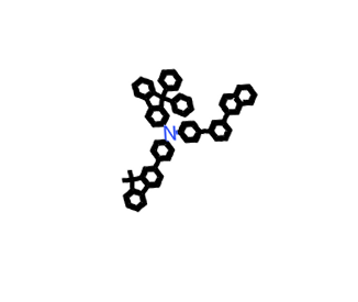 CC1(C)c2ccccc2-c2ccc(-c3ccc(N(c4ccc(-c5cccc(-c6ccc7ccccc7c6)c5)cc4)c4ccc5c(c4)C(c4ccccc4)(c4ccccc4)c4ccccc4-5)cc3)cc21